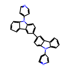 C1=C=C(n2c3ccccc3c3cc(-c4ccc5c(c4)c4ccccc4n5-c4ccncc4)ccc32)C=CN=1